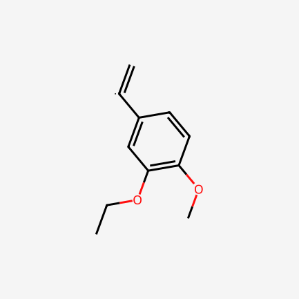 C=[C]c1ccc(OC)c(OCC)c1